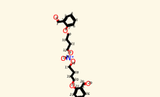 O=Cc1ccccc1OCCCCO[N+](=O)OCCCCOc1ccccc1C=O